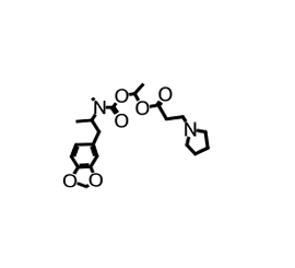 CC(OC(=O)CCN1CCCC1)OC(=O)N(C)C(C)Cc1ccc2c(c1)OCO2